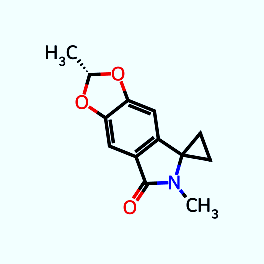 C[C@H]1Oc2cc3c(cc2O1)C1(CC1)N(C)C3=O